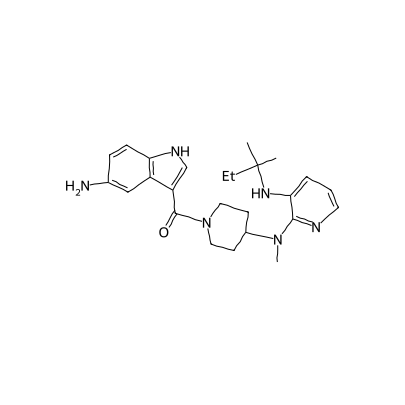 CCC(C)(C)Nc1cccnc1N(C)C1CCN(C(=O)c2c[nH]c3ccc(N)cc23)CC1